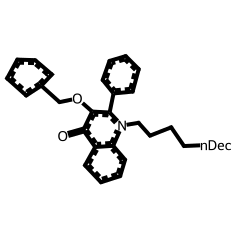 CCCCCCCCCCCCCCn1c(-c2ccccc2)c(OCc2ccccc2)c(=O)c2ccccc21